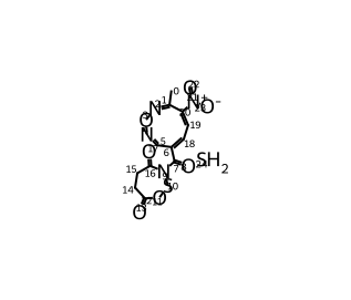 Cc1noncc(C(=O)N2SOC(=O)CCC2=O)ccc1[N+](=O)[O-].S